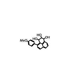 COc1ccc(-c2ccc3cccc4c3c2C(O)C(O)C4O)cc1